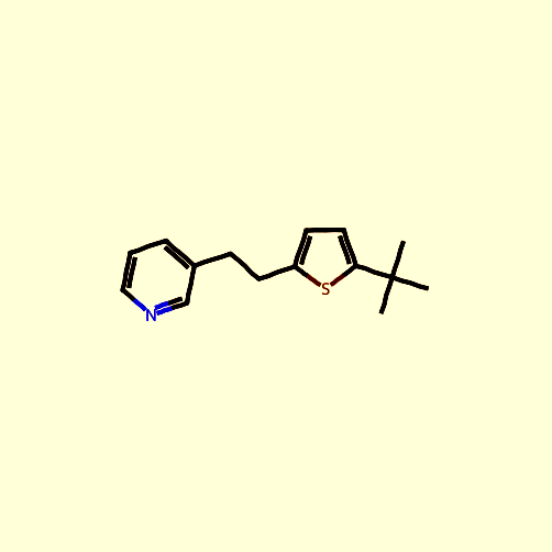 CC(C)(C)c1ccc(CCc2cccnc2)s1